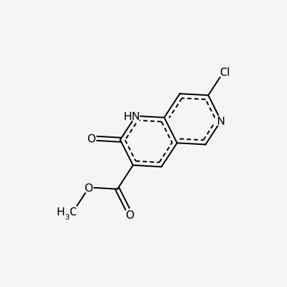 COC(=O)c1cc2cnc(Cl)cc2[nH]c1=O